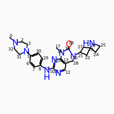 CN1CCN(c2ccc(Nc3ncc4c(n3)N(C)C(=O)N(C3CC5(CCN5)C3)C4)cc2)CC1